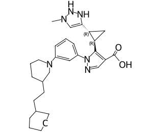 CN1C=C([C@@H]2C[C@H]2c2c(C(=O)O)cnn2-c2cccc(N3CCCC(CCC4CCCCC4)C3)c2)NN1